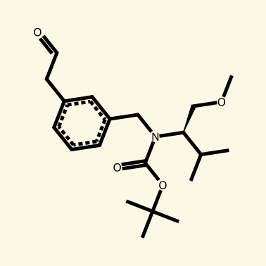 COC[C@@H](C(C)C)N(Cc1cccc(CC=O)c1)C(=O)OC(C)(C)C